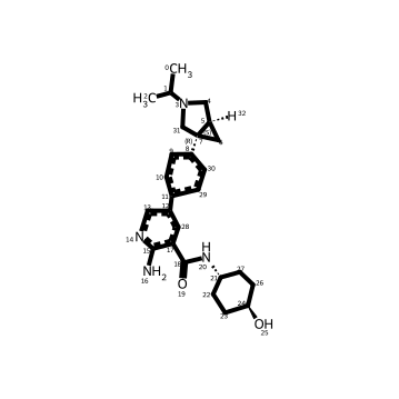 CC(C)N1C[C@H]2C[C@@]2(c2ccc(-c3cnc(N)c(C(=O)N[C@H]4CC[C@H](O)CC4)c3)cc2)C1